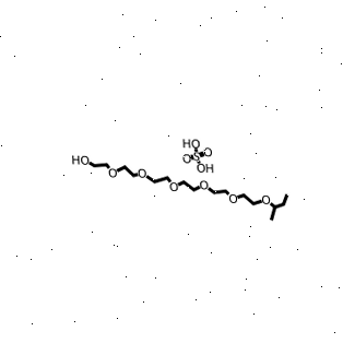 CCC(C)OCCOCCOCCOCCOCCOCCO.O=S(=O)(O)O